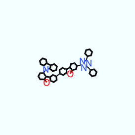 c1ccc(-c2nc(-c3ccccc3)nc(-c3ccc4c(c3)oc3cc(-c5ccc6oc7cccc(-n8c9ccccc9c9ccccc98)c7c6c5)ccc34)n2)cc1